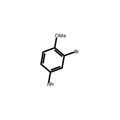 C[CH]Cc1ccc(OC)c(Br)c1